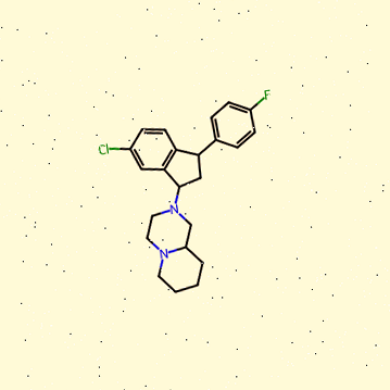 Fc1ccc(C2CC(N3CCN4CCCCC4C3)c3cc(Cl)ccc32)cc1